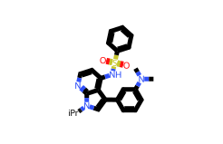 CC(C)n1cc(-c2cccc(N(C)C)c2)c2c(NS(=O)(=O)c3ccccc3)ccnc21